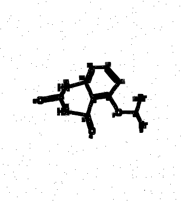 O=c1[nH]c(=O)c2c(OC(Br)Br)cccc2[nH]1